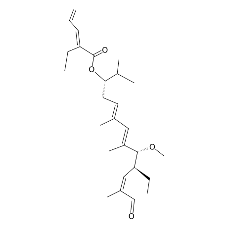 C=C/C=C(\CC)C(=O)O[C@@H](C/C=C(C)/C=C(\C)[C@H](OC)[C@H](/C=C(/C)C=O)CC)C(C)C